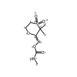 CNC(=O)ON=C1OCCS(=O)(=O)C1(C)C